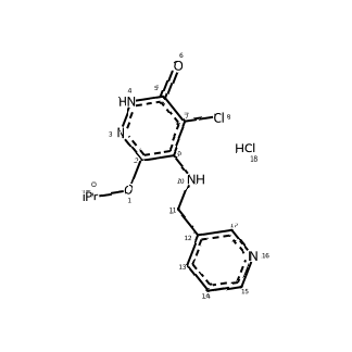 CC(C)Oc1n[nH]c(=O)c(Cl)c1NCc1cccnc1.Cl